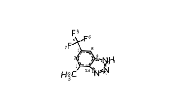 Cc1cc(C(F)(F)F)cc2[nH]nnc12